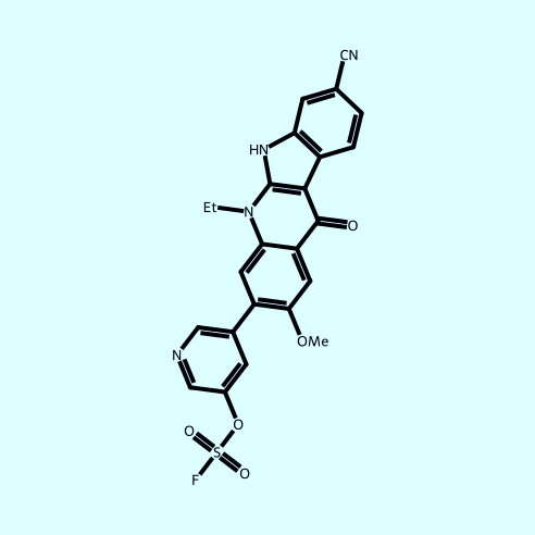 CCn1c2cc(-c3cncc(OS(=O)(=O)F)c3)c(OC)cc2c(=O)c2c3ccc(C#N)cc3[nH]c21